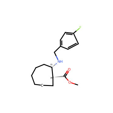 COC(=O)[C@@H]1CCCCCC[C@@H]1NCc1ccc(F)cc1